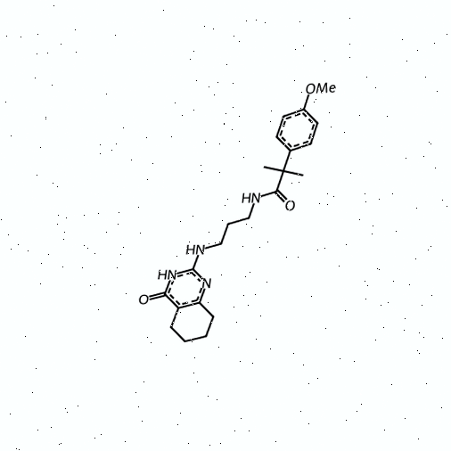 COc1ccc(C(C)(C)C(=O)NCCCNc2nc3c(c(=O)[nH]2)CCCC3)cc1